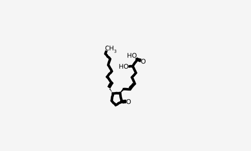 CCCCCC/C=C/[C@H]1CCC(=O)[C@@H]1C/C=C\CCC(O)C(=O)O